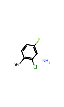 CCCc1ccc(F)cc1Cl.N